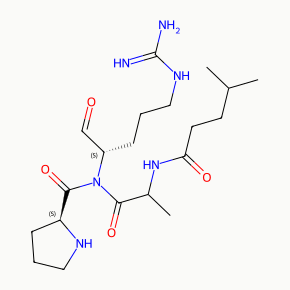 CC(C)CCC(=O)NC(C)C(=O)N(C(=O)[C@@H]1CCCN1)[C@H](C=O)CCCNC(=N)N